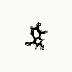 Clc1nc(Cl)c2cnc(Cl)c(I)c2n1